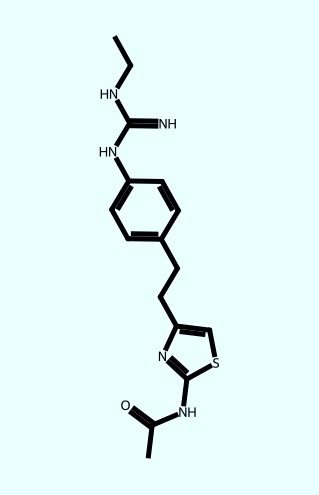 CCNC(=N)Nc1ccc(CCc2csc(NC(C)=O)n2)cc1